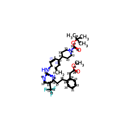 C=C/C=C(\C=C/CNc1ncc(C(F)(F)F)c(CCc2ccccc2CC(=O)OC)n1)C1CCN(C(=O)OC(C)(C)C)CC1